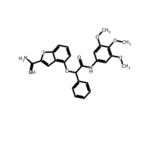 COc1cc(NC(=O)C(Oc2cccc3sc(C(=N)N)cc23)c2ccccc2)cc(OC)c1OC